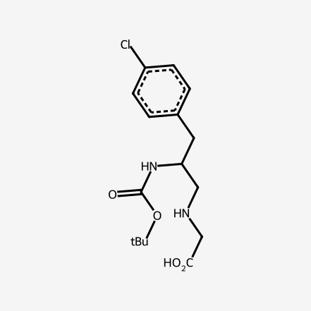 CC(C)(C)OC(=O)NC(CNCC(=O)O)Cc1ccc(Cl)cc1